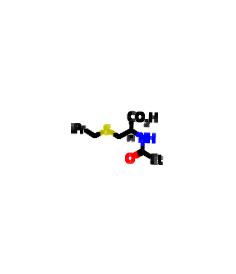 CCC(=O)N[C@@H](CSCC(C)C)C(=O)O